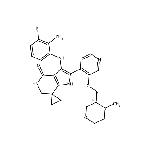 Cc1c(F)cccc1Nc1c(-c2ccncc2OC[C@@H]2COCCN2C)[nH]c2c1C(=O)NCC21CC1